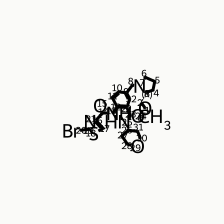 COC[C@H]1CCCN1Cc1ccc(NC(=O)c2csc(Br)n2)c(C(=O)NC2CCOCC2)c1